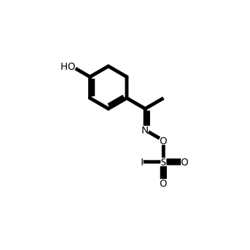 C/C(=N\OS(=O)(=O)I)C1=CC=C(O)CC1